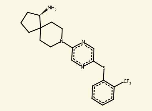 N[C@@H]1CCCC12CCN(c1cnc(Sc3ccccc3C(F)(F)F)cn1)CC2